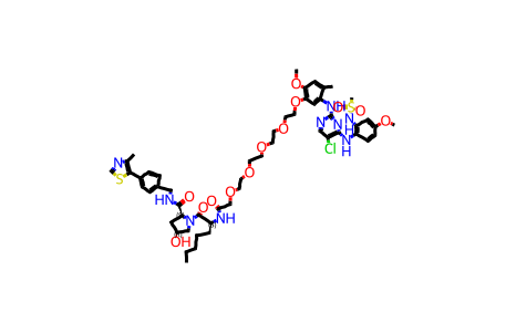 CCCCC[C@H](NC(=O)COCCOCCOCCOCCOc1cc(Nc2ncc(Cl)c(Nc3ccc(OC)cc3NS(C)(=O)=O)n2)c(C)cc1OC)C(=O)N1C[C@H](O)C[C@H]1C(=O)NCc1ccc(-c2scnc2C)cc1